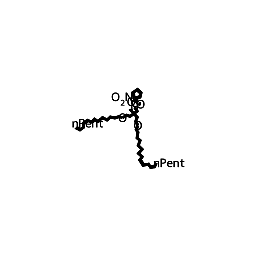 CCCCC/C=C\C/C=C\CCCCCCCCOCCC1(CCOCCCCCCCC/C=C\C/C=C\CCCCC)CN(S(=O)(=O)c2ccccc2[N+](=O)[O-])C1